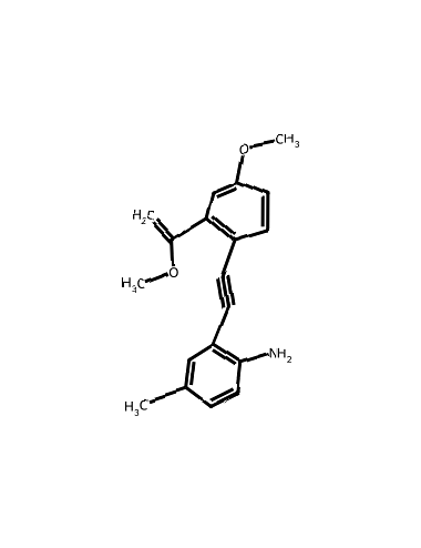 C=C(OC)c1cc(OC)ccc1C#Cc1cc(C)ccc1N